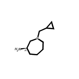 N[C@@H]1CCCCN(CC2CC2)C1